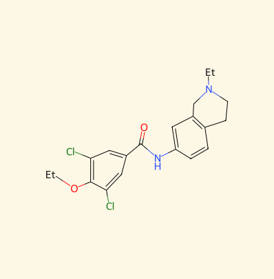 CCOc1c(Cl)cc(C(=O)Nc2ccc3c(c2)CN(CC)CC3)cc1Cl